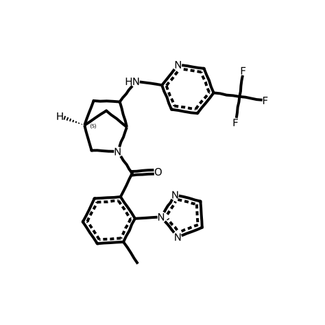 Cc1cccc(C(=O)N2C[C@H]3CC(Nc4ccc(C(F)(F)F)cn4)C2C3)c1-n1nccn1